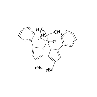 CCCCC1=C[CH]([Ti]([Cl])([Cl])([CH]2C=C(CCCC)C=C2c2ccccc2)[SiH](C)C)C(c2ccccc2)=C1